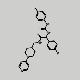 O=C(Nc1ccc(Cl)cc1)NC(C(=O)NCC1CCN(c2ccncc2)CC1)c1ccc(F)cc1